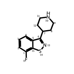 Fc1cccc2c(C3CCNCC3)nsc12